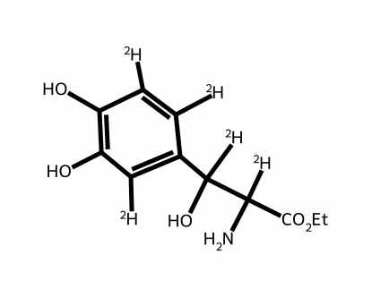 [2H]c1c([2H])c(C([2H])(O)C([2H])(N)C(=O)OCC)c([2H])c(O)c1O